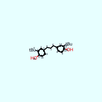 CC(C)(C)c1cc(CCCc2ccc(O)c(C(C)(C)C)c2)ccc1O